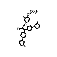 CCC(COc1ccc(OCC(=O)O)c(C)c1)=C(c1ccc(-c2cccc(C)c2)cc1)c1ccc(-c2cccc(C)c2)cc1